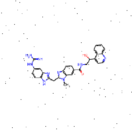 Cn1c(Cc2nc3cc(NC(=N)N)ccc3[nH]2)nc2ccc(C(=O)NCC(O)c3ccnc4ccccc34)cc21